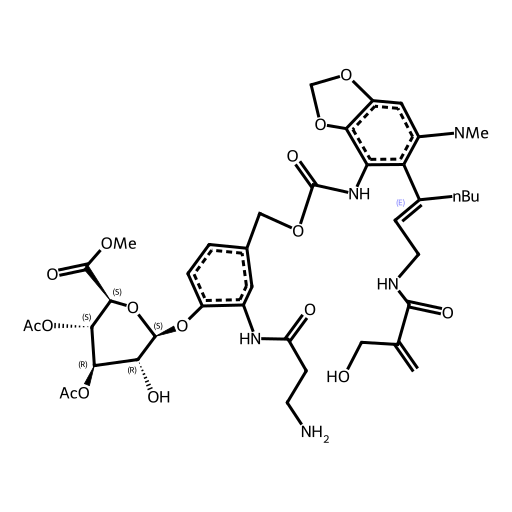 C=C(CO)C(=O)NC/C=C(\CCCC)c1c(NC)cc2c(c1NC(=O)OCc1ccc(O[C@@H]3O[C@H](C(=O)OC)[C@@H](OC(C)=O)[C@H](OC(C)=O)[C@H]3O)c(NC(=O)CCN)c1)OCO2